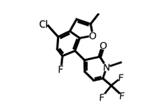 Cc1cc2c(Cl)cc(F)c(-c3ccc(C(F)(F)F)n(C)c3=O)c2o1